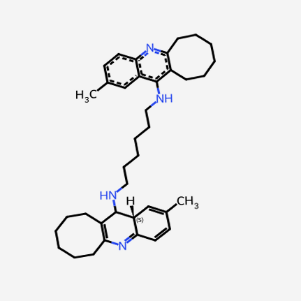 CC1=C[C@@H]2C(=NC3=C(CCCCCC3)C2NCCCCCCNc2c3c(nc4ccc(C)cc24)CCCCCC3)C=C1